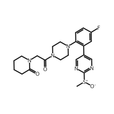 C[S+]([O-])c1ncc(-c2cc(F)ccc2N2CCN(C(=O)CN3CCCCC3=O)CC2)cn1